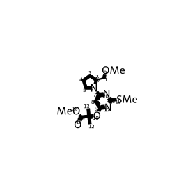 COC[C@@H]1CCCN1c1cc(OC(C)(C)C(=O)OC)nc(SC)n1